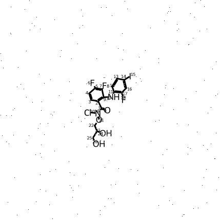 O=C(c1ccc(F)c(F)c1Nc1ccc(I)cc1F)N(Cl)OCC(O)CO